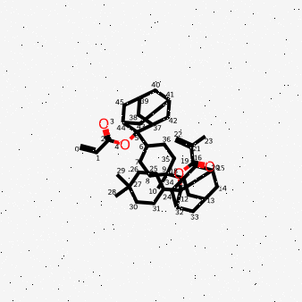 C=CC(=O)OC1(C2CCC(C)(C34CC5CC(C3)C(OC(=O)C(=C)C)(C3CCC(C)(C)CC3)C(C5)C4)CC2)C2CC3CC(C2)CC1C3